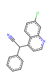 N#CC(c1ccccc1)c1ccnc2cc(Cl)ccc12